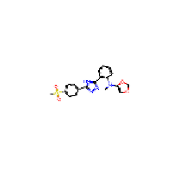 CN(C1=COCO1)c1ccccc1-c1nnc(-c2ccc(S(C)(=O)=O)cc2)[nH]1